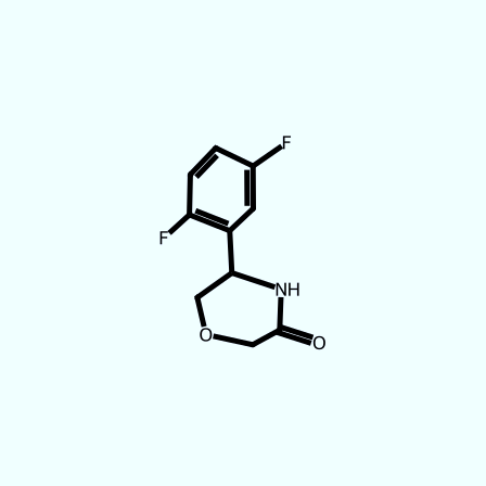 O=C1COCC(c2cc(F)ccc2F)N1